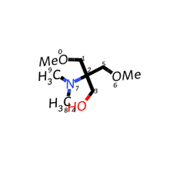 COCC(CO)(COC)N(C)C